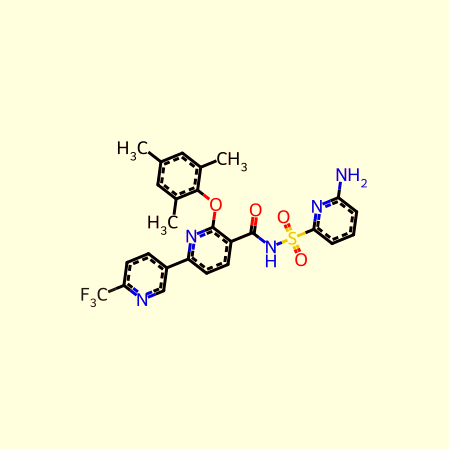 Cc1cc(C)c(Oc2nc(-c3ccc(C(F)(F)F)nc3)ccc2C(=O)NS(=O)(=O)c2cccc(N)n2)c(C)c1